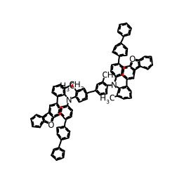 Cc1cc(-c2ccc(N(c3ccc(-c4ccc(-c5ccccc5)cc4)cc3)c3c(C)cccc3-c3ccc4oc5ccccc5c4c3)c(C)c2)ccc1N(c1ccc(-c2ccc(-c3ccccc3)cc2)cc1)c1c(C)cccc1-c1ccc2oc3ccccc3c2c1